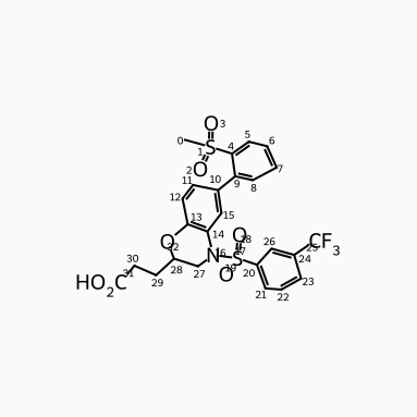 CS(=O)(=O)c1ccccc1-c1ccc2c(c1)N(S(=O)(=O)c1cccc(C(F)(F)F)c1)CC(CCC(=O)O)O2